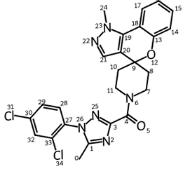 Cc1nc(C(=O)N2CCC3(CC2)Oc2ccccc2-c2c3cnn2C)nn1-c1ccc(Cl)cc1Cl